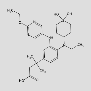 CCOc1ncc(Nc2cc(C(C)(C)CC(=O)O)ccc2N(CC)C2CCS(O)(O)CC2)cn1